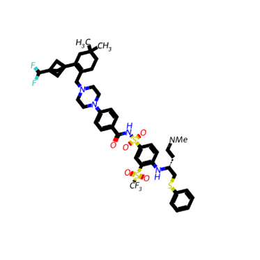 CNCC[C@H](CSc1ccccc1)Nc1ccc(S(=O)(=O)NC(=O)c2ccc(N3CCN(CC4=C(C56CC(C(F)F)(C5)C6)CC(C)(C)CC4)CC3)cc2)cc1S(=O)(=O)C(F)(F)F